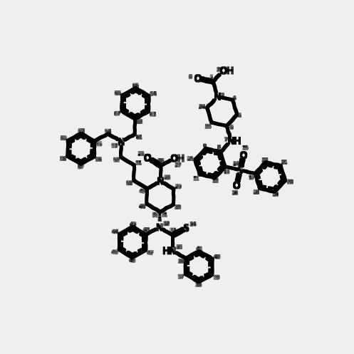 O=C(O)N1CCC(Nc2ccccc2S(=O)(=O)c2ccccc2)CC1.O=C(O)N1CC[C@H](N(C(=S)Nc2ccccc2)c2ccccc2)CC1CCCN(Cc1ccccc1)Cc1ccccc1